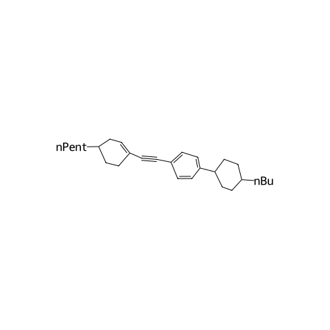 CCCCCC1CC=C(C#Cc2ccc(C3CCC(CCCC)CC3)cc2)CC1